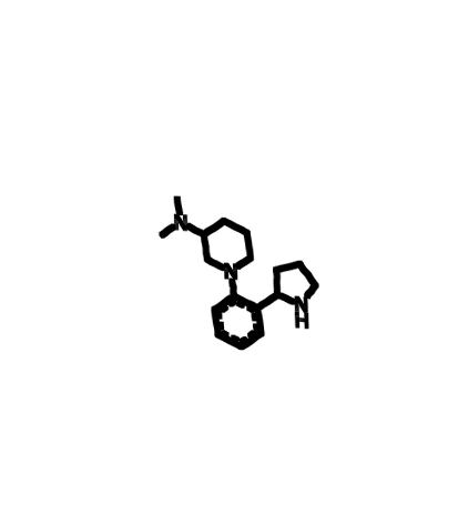 CN(C)C1CCCN(c2ccccc2C2CCCN2)C1